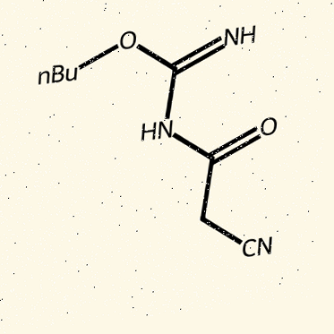 CCCCOC(=N)NC(=O)CC#N